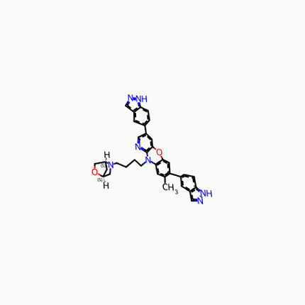 Cc1cc2c(cc1-c1ccc3[nH]ncc3c1)Oc1cc(-c3ccc4[nH]ncc4c3)cnc1N2CCCCN1C[C@@H]2C[C@H]1CO2